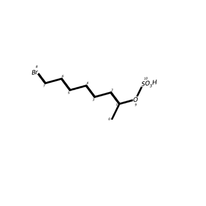 CC(CCCCCCBr)OS(=O)(=O)O